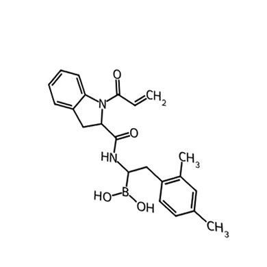 C=CC(=O)N1c2ccccc2CC1C(=O)NC(Cc1ccc(C)cc1C)B(O)O